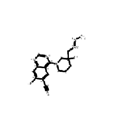 CSNCC1(F)CCCN(c2ncnc3cc(F)c(C#N)cc23)C1